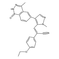 [CH2]c1n[nH]c(=O)c2ccc(-c3cnn(C)c3C=C(C#N)c3ccc(OCC)cc3)cc12